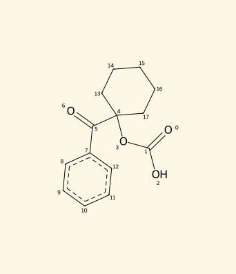 O=C(O)OC1(C(=O)c2ccccc2)CCCCC1